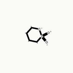 O=S1(=O)CCC[CH]O1